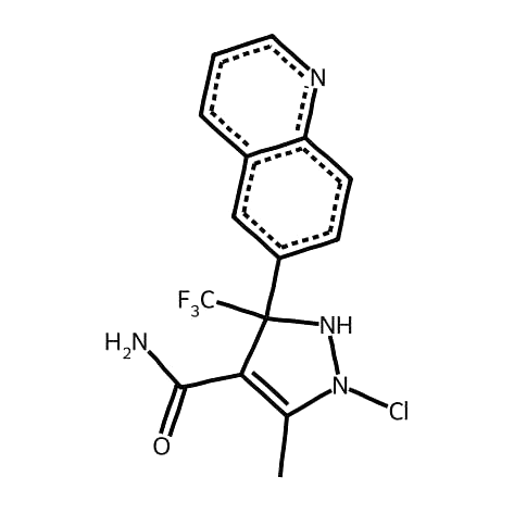 CC1=C(C(N)=O)C(c2ccc3ncccc3c2)(C(F)(F)F)NN1Cl